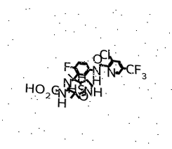 CC1(C)C(NC(=O)O)=N[C@](C)(c2cc(NC(=O)c3ncc(C(F)(F)F)cc3Cl)ccc2F)[C@@H]2CCN[SH]21=O